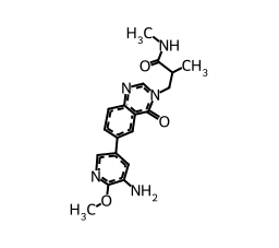 CNC(=O)C(C)Cn1cnc2ccc(-c3cnc(OC)c(N)c3)cc2c1=O